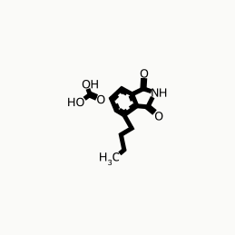 CCCCc1cccc2c1C(=O)NC2=O.O=C(O)O